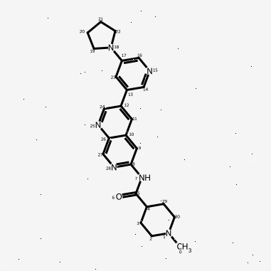 CN1CCC(C(=O)Nc2cc3cc(-c4cncc(N5CCCC5)c4)cnc3cn2)CC1